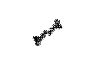 C1=C(c2cc(-c3ccc(-c4ccc5c(c4)c4ccccc4n5-c4ccccc4)cc3)cs2)SCC1c1ccc(-c2ccc3c(c2)c2ccccc2n3-c2ccccc2)cc1